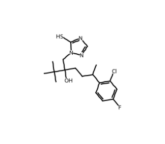 CC(CCC(O)(Cn1ncnc1S)C(C)(C)C)c1ccc(F)cc1Cl